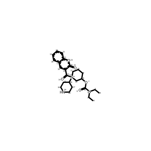 CCN(CC)C(=O)OC1CCC[N+](C(=O)c2cc3ccccc3oc2=O)(C2CCNCC2)C1